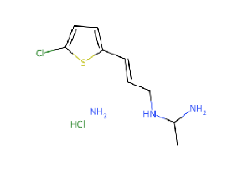 CC(N)NCC=Cc1ccc(Cl)s1.Cl.N